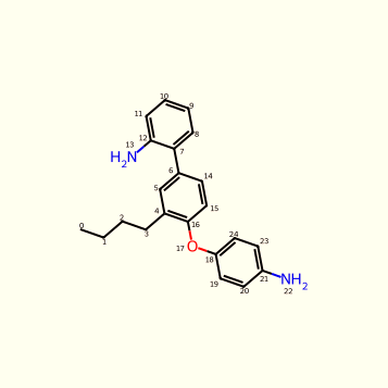 CCCCc1cc(-c2ccccc2N)ccc1Oc1ccc(N)cc1